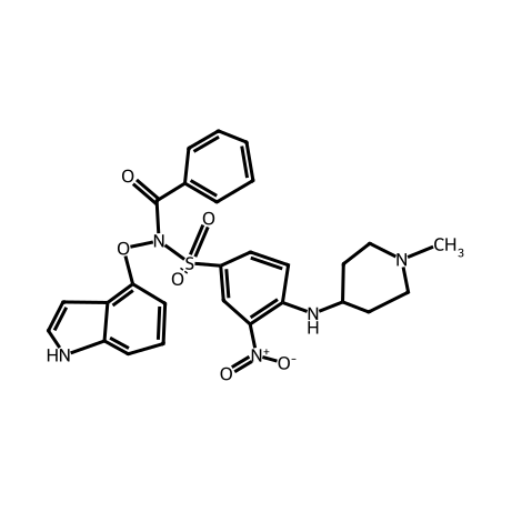 CN1CCC(Nc2ccc(S(=O)(=O)N(Oc3cccc4[nH]ccc34)C(=O)c3ccccc3)cc2[N+](=O)[O-])CC1